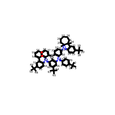 CC(C)(C)c1ccc(N2c3cc(N4c5ccc(C(C)(C)C)cc5C5(C)CCCCCC45C)ccc3B3c4ccccc4N(c4ccc(C(C)(C)C)cc4-c4ccccc4)c4cc(C(C)(C)C)cc2c43)cc1